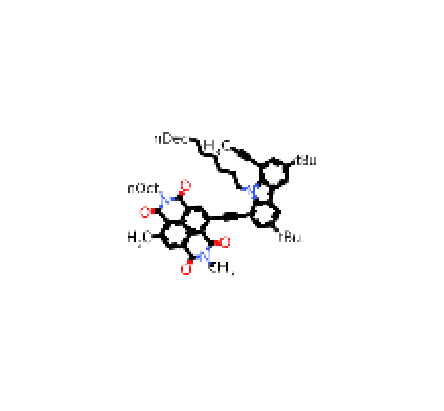 CC#Cc1cc(C(C)(C)C)cc2c3cc(C(C)(C)C)cc(C#Cc4cc5c6c(c(C)cc7c6c4C(=O)N(C)C7=O)C(=O)N(CCCCCCCC)C5=O)c3n(CCCCCCCCCCCCCCCC)c12